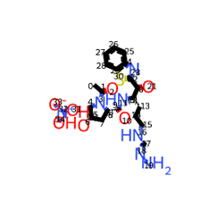 CC(=O)N1C[C@H](O)C[C@H]1C(=O)N[C@@H](CCCNC=NN)C(=O)c1nc2ccccc2s1.O=[N+]([O-])O